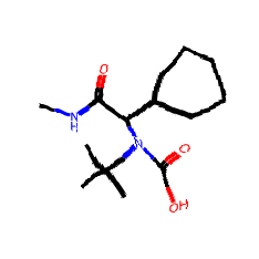 CNC(=O)C(C1CCCCC1)N(C(=O)O)C(C)(C)C